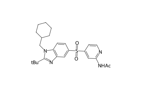 CC(=O)Nc1cc(S(=O)(=O)c2ccc3c(c2)nc(C(C)(C)C)n3CC2CCCCC2)ccn1